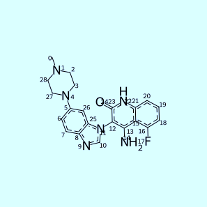 CN1CCN(c2ccc3ncn(-c4c(N)c5c(F)cccc5[nH]c4=O)c3c2)CC1